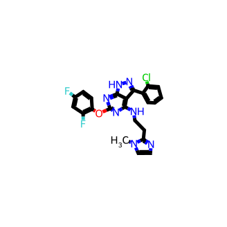 Cn1ccnc1CCNc1nc(Oc2ccc(F)cc2F)nc2[nH]nc(-c3ccccc3Cl)c12